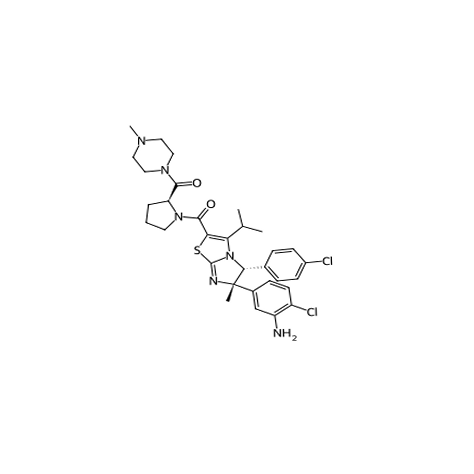 CC(C)C1=C(C(=O)N2CCC[C@H]2C(=O)N2CCN(C)CC2)SC2=N[C@@](C)(c3ccc(Cl)c(N)c3)[C@@H](c3ccc(Cl)cc3)N21